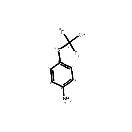 Nc1ccc(SC(F)(F)Cl)cc1